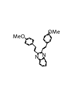 COc1ccc(C=Cc2nc3ccccc3nc2C=Cc2ccc(OC)cc2)cc1